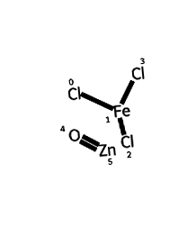 [Cl][Fe]([Cl])[Cl].[O]=[Zn]